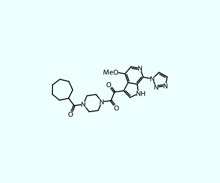 COc1cnc(-n2ccnn2)c2[nH]cc(C(=O)C(=O)N3CCN(C(=O)C4CCCCCC4)CC3)c12